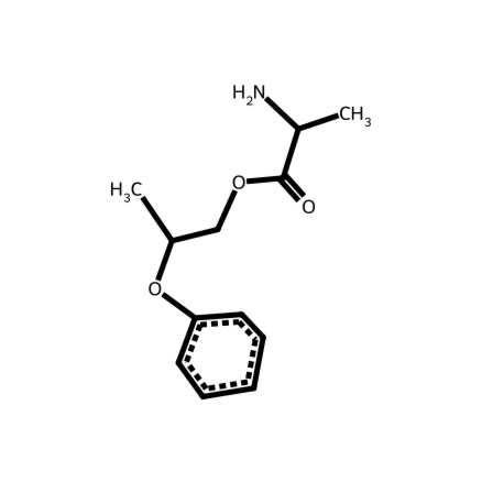 CC(COC(=O)C(C)N)Oc1ccccc1